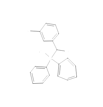 CC(C)(C)[Si](c1ccccc1)(c1ccccc1)C(O)c1cccc(Br)c1